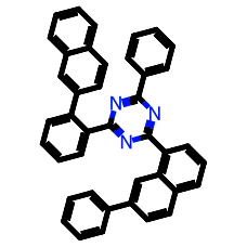 c1ccc(-c2ccc3cccc(-c4nc(-c5ccccc5)nc(-c5ccccc5-c5ccc6ccccc6c5)n4)c3c2)cc1